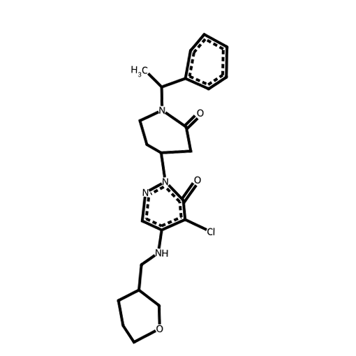 CC(c1ccccc1)N1CCC(n2ncc(NCC3CCCOC3)c(Cl)c2=O)CC1=O